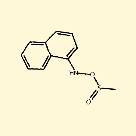 CS(=O)ONc1cccc2ccccc12